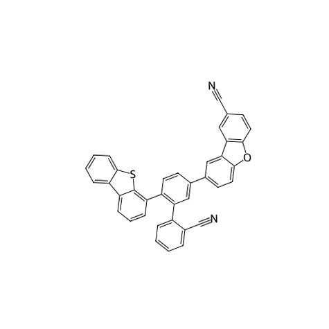 N#Cc1ccc2oc3ccc(-c4ccc(-c5cccc6c5sc5ccccc56)c(-c5ccccc5C#N)c4)cc3c2c1